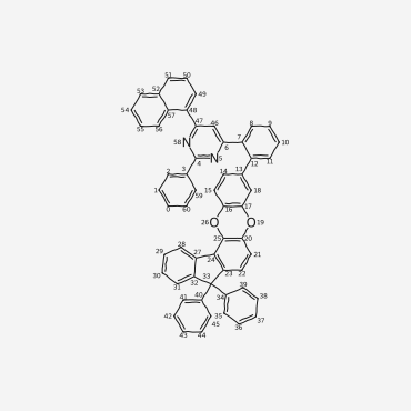 c1ccc(-c2nc(-c3ccccc3-c3ccc4c(c3)Oc3ccc5c(c3O4)-c3ccccc3C5(c3ccccc3)c3ccccc3)cc(-c3cccc4ccccc34)n2)cc1